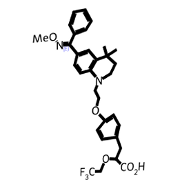 CO/N=C(\c1ccccc1)c1ccc2c(c1)C(C)(C)CCN2CCOc1ccc(CC(OCC(F)(F)F)C(=O)O)cc1